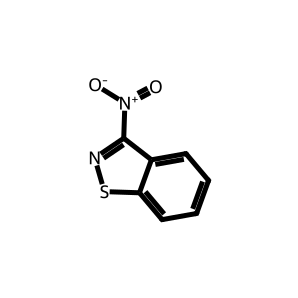 O=[N+]([O-])c1nsc2ccccc12